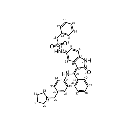 O=C1Nc2ccc(NS(=O)(=O)Cc3ccccc3)cc2C1=C(Nc1ccc(CN2CCCC2)cc1)c1ccccc1